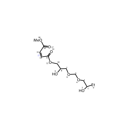 CCC(O)COCOCC(O)COC(=O)/C=C\C(=O)OC